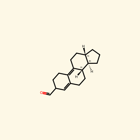 O=CC1C=C2CC[C@@H]3C(=C2CC1)CC[C@@H]1CCC[C@H]13